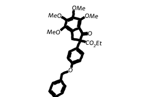 CCOC(=O)C1(c2ccc(OCc3ccccc3)cc2)Cc2c(OC)c(OC)c(OC)c(OC)c2C1=O